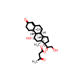 CC(=O)CC(=O)O[C@@]1(C(=O)CO)CC[C@H]2[C@@H]3CCC4=CC(=O)CC[C@]4(C)[C@H]3[C@@H](O)C[C@@]21C